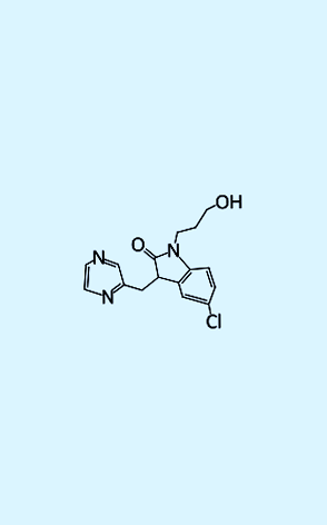 O=C1C(Cc2cnccn2)c2cc(Cl)ccc2N1CCCO